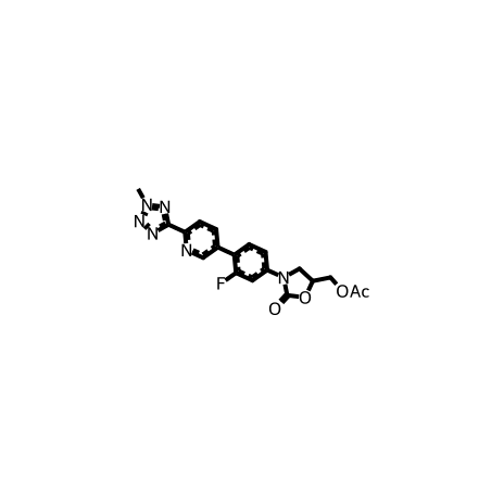 CC(=O)OCC1CN(c2ccc(-c3ccc(-c4nnn(C)n4)nc3)c(F)c2)C(=O)O1